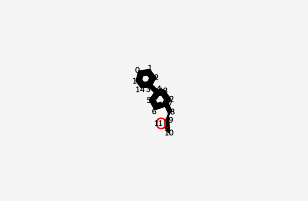 c1ccc(-c2ccc(C[C@H]3CO3)cc2)cc1